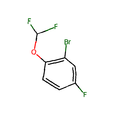 Fc1ccc(OC(F)F)c(Br)c1